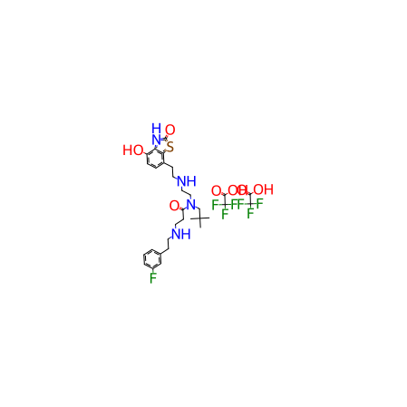 CC(C)(C)CN(CCNCCc1ccc(O)c2[nH]c(=O)sc12)C(=O)CCNCCc1cccc(F)c1.O=C(O)C(F)(F)F.O=C(O)C(F)(F)F